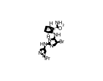 CC(C)n1cc(Nc2ncc(Br)c(N[C@H]3[C@@H](C(N)=O)[C@@H]4C=C[C@H]3C4)n2)cn1